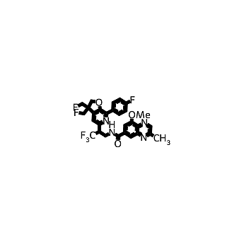 COc1cc(C(=O)NCC(c2cc3c(c(-c4ccc(F)cc4)n2)OCC3(CF)CF)C(F)(F)F)cc2nc(C)cnc12